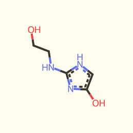 OCCNc1nc(O)c[nH]1